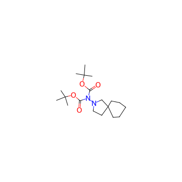 CC(C)(C)OC(=O)N(C(=O)OC(C)(C)C)N1CCC2(CCCCC2)C1